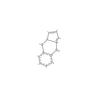 C1=CC2Oc3ccccc3OC2=C1